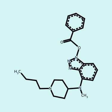 CCCCN1CCC(N(C)c2cccc3c2nnn3OC(=O)c2ccccc2)CC1